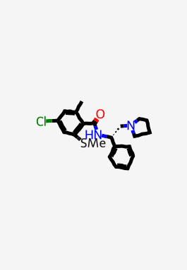 CSc1cc(Cl)cc(C)c1C(=O)N[C@H](CN1CCCC1)c1ccccc1